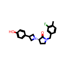 Cc1ccc(CN2CC[C@H](N3CC(c4ccc(O)cc4)C3)C2=O)cc1F